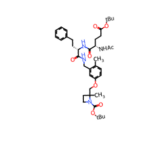 CC(=O)N[C@@H](CCC(=O)OC(C)(C)C)C(=O)N[C@@H](CCc1ccccc1)C(=O)NCc1cc(OCC2(C)CCN2C(=O)OC(C)(C)C)ccc1C